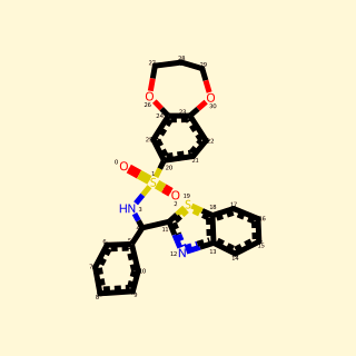 O=S(=O)(NC(c1ccccc1)c1nc2ccccc2s1)c1ccc2c(c1)OCCCO2